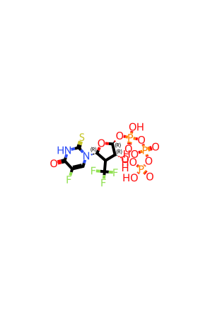 O=c1[nH]c(=S)n([C@@H]2O[C@H](OP(=O)(O)OP(=O)(O)OP(=O)(O)O)[C@H](O)C2C(F)(F)F)cc1F